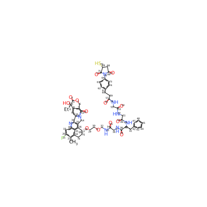 CC[C@@]1(O)C(=O)OCc2c1cc1n(c2=O)Cc2c-1nc1cc(F)c(C)c3c1c2[C@H](OCCOCNC(=O)CNC(=O)[C@H](Cc1ccccc1)NC(=O)CNC(=O)CNC(=O)CCc1ccc(N2C(=O)CC(S)C2=O)cc1)CC3